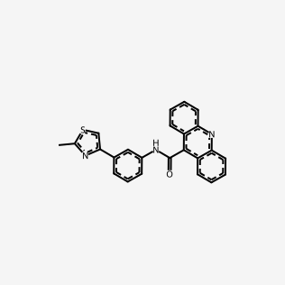 Cc1nc(-c2cccc(NC(=O)c3c4ccccc4nc4ccccc34)c2)cs1